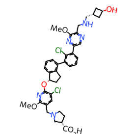 COc1nc(O[C@H]2CCc3c(-c4cccc(-c5cnc(CNC[C@H]6C[C@H](O)C6)c(OC)n5)c4Cl)cccc32)c(Cl)cc1CN1CC[C@H](C(=O)O)C1